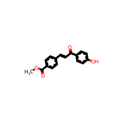 COC(=O)c1ccc(/C=C/C(=O)c2ccc(O)cc2)cc1